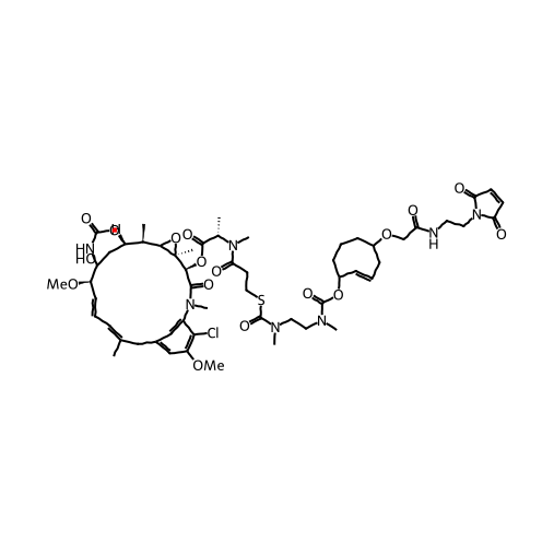 COc1cc2cc(c1Cl)N(C)C(=O)[C@H](OC(=O)[C@H](C)N(C)C(=O)CCSC(=O)N(C)CCN(C)C(=O)OC1/C=C/CC(OCC(=O)NCCN3C(=O)C=CC3=O)CCC1)[C@]1(C)OC1[C@H](C)[C@@H]1C[C@@](O)(NC(=O)O1)[C@H](OC)/C=C/C=C(\C)C2